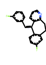 Fc1cccc(/C=C2/c3ccc(F)cc3CCc3ncccc32)c1